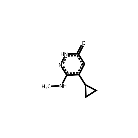 CNc1n[nH]c(=O)cc1C1CC1